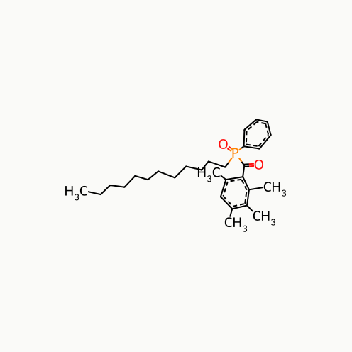 CCCCCCCCCCCCP(=O)(C(=O)c1c(C)cc(C)c(C)c1C)c1ccccc1